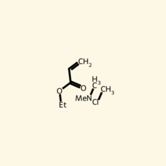 C=CC(=O)OCC.CCl.CNC